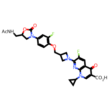 CC(=O)NCC1CN(c2ccc(OCC3CN(c4nc5c(cc4F)c(=O)c(C(=O)O)cn5C4CC4)C3)c(F)c2)C(=O)O1